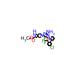 CCOC(=O)C1CC2(CCN(c3cc(O[C@H](c4ccc(Cl)cc4-c4ccccn4)C(F)(F)F)nc(N)n3)CC2)CN1